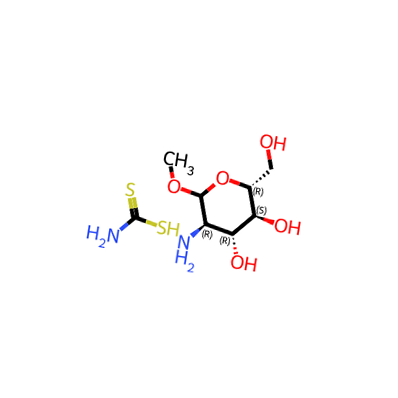 COC1O[C@H](CO)[C@@H](O)[C@H](O)[C@H]1N.NC(=S)S